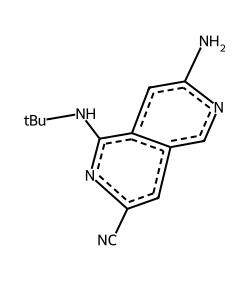 CC(C)(C)Nc1nc(C#N)cc2cnc(N)cc12